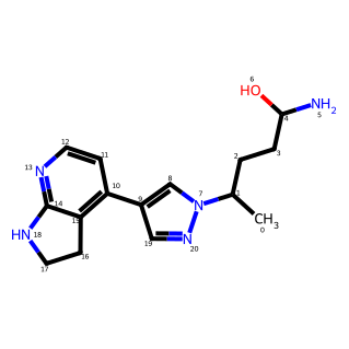 CC(CCC(N)O)n1cc(-c2ccnc3c2CCN3)cn1